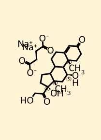 C[C@]12CCC(=O)C=C1CCC1C2[C@@H](O)C[C@@]2(C)C1CC[C@]2(O)C(=O)CO.O=C([O-])CCC(=O)[O-].[Na+].[Na+]